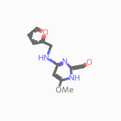 COC1=CC(NCc2ccco2)=NC(=C=O)N1